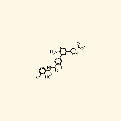 COC(=O)[C@@H]1C[C@H](c2cnc(N)c(-c3ccc(C(=O)N[C@H](CO)c4cccc(Cl)c4)c(F)c3)c2)CN1